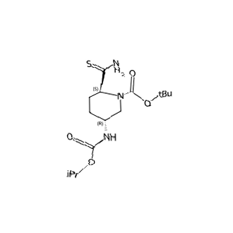 CC(C)OC(=O)N[C@@H]1CC[C@@H](C(N)=S)N(C(=O)OC(C)(C)C)C1